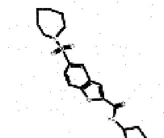 O=C(NC1CCCC1)c1cc2cc(S(=O)(=O)N3CCCCCC3)ccc2o1